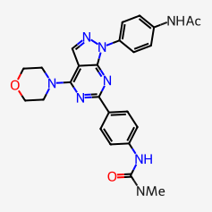 CNC(=O)Nc1ccc(-c2nc(N3CCOCC3)c3cnn(-c4ccc(NC(C)=O)cc4)c3n2)cc1